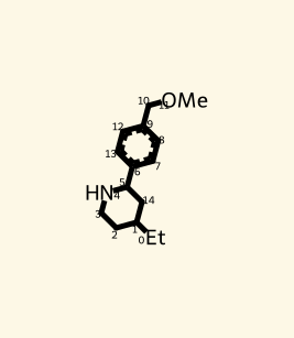 CCC1CCNC(c2ccc(COC)cc2)C1